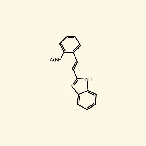 CC(=O)Nc1ccccc1C=Cc1nc2ccccc2[nH]1